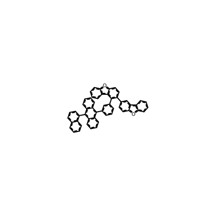 c1cc(-c2c3ccccc3c(-c3cccc4ccccc34)c3ccccc23)cc(-c2c(-c3ccc4oc5ccccc5c4c3)ccc3oc4ccccc4c23)c1